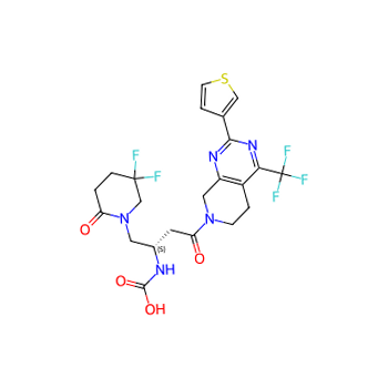 O=C(O)N[C@@H](CC(=O)N1CCc2c(nc(-c3ccsc3)nc2C(F)(F)F)C1)CN1CC(F)(F)CCC1=O